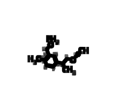 C#COCC(C)c1ccc(C)c(COP)c1